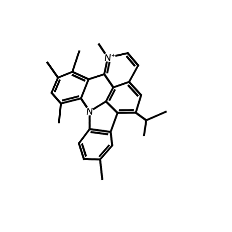 Cc1ccc2c(c1)c1c(C(C)C)cc3cc[n+](C)c4c5c(C)c(C)cc(C)c5n2c1c34